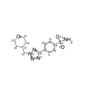 NS(=O)(=O)c1ccc(-c2nnn(CC3CCOCC3)n2)cc1